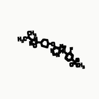 CC(C)c1noc(C2CCC(Oc3ncnc4c3ncn4-c3ccc(S(C)(=O)=O)cc3F)CC2)n1